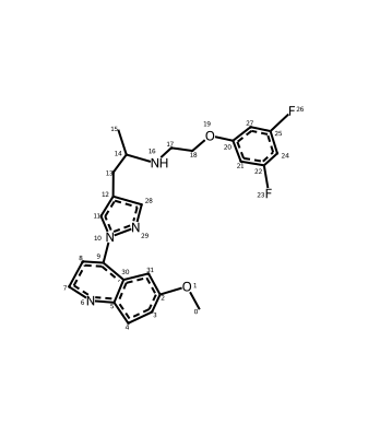 COc1ccc2nccc(-n3cc(CC(C)NCCOc4cc(F)cc(F)c4)cn3)c2c1